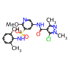 COc1ncc(NC(=O)c2c(C)nn(C)c2Cl)cc1S(=O)(=O)Nc1c(C)cccc1C